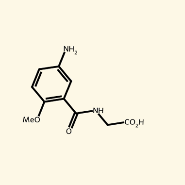 COc1ccc(N)cc1C(=O)NCC(=O)O